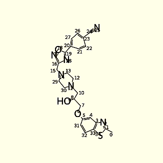 Cc1nc2cc(OCC(O)CN3CCN(Cc4noc(-c5ccc(C#N)cc5)n4)CC3)ccc2s1